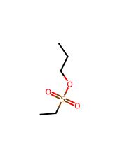 CCCOS(=O)(=O)CC